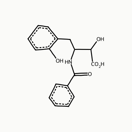 O=C(NC(Cc1ccccc1O)C(O)C(=O)O)c1ccccc1